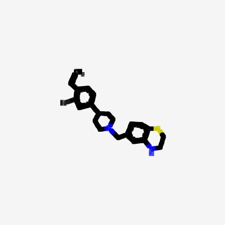 C=Cc1ccc(C2CCN(Cc3ccc4c(c3)NCCS4)CC2)cc1CC